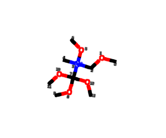 COC[N+](C)(OC)C(OC)(OC)OC